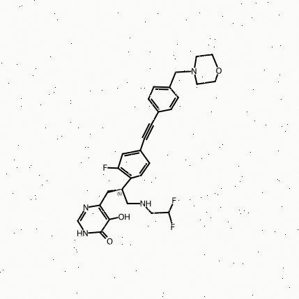 O=c1[nH]cnc(C[C@H](CNCC(F)F)c2ccc(C#Cc3ccc(CN4CCOCC4)cc3)cc2F)c1O